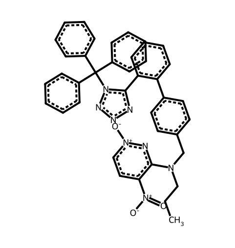 CCCN(Cc1ccc(-c2ccccc2-c2nnnn2C(c2ccccc2)(c2ccccc2)c2ccccc2)cc1)c1n[n+]([O-])ccc1[N+](=O)[O-]